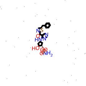 NS(=O)(=O)OC[C@H]1C[C@@H](Nc2ncncc2C(=O)c2ncc(Cc3ccccc3)s2)C[C@@H]1O